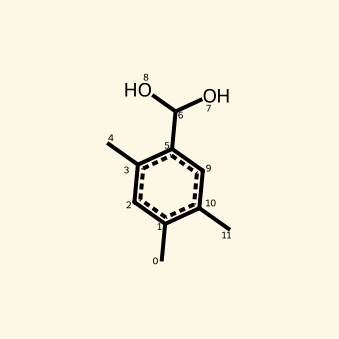 Cc1cc(C)c(C(O)O)cc1C